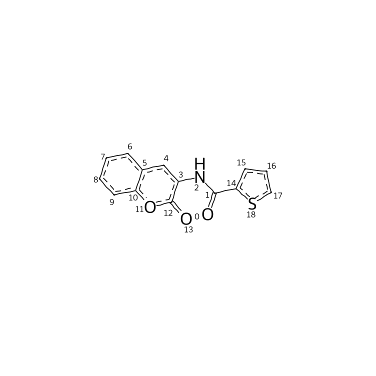 O=C(Nc1cc2ccccc2oc1=O)c1cccs1